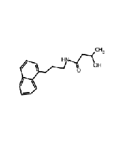 CC(O)CC(=O)NCCCc1cccc2ccccc12